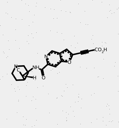 O=C(O)C#Cc1cc2cnc(C(=O)N[C@H]3CN4CCC3CC4)cc2o1